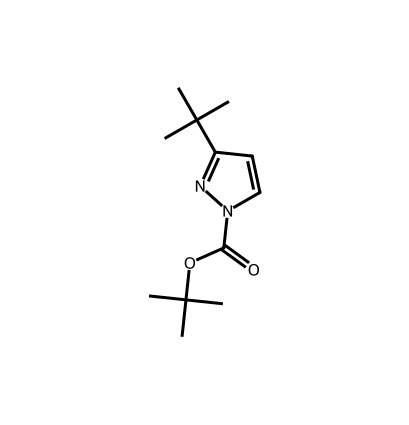 CC(C)(C)OC(=O)n1ccc(C(C)(C)C)n1